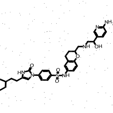 Nc1ccc(C(O)CNCC2CCc3cc(NS(=O)(=O)c4ccc(-n5cc(CCC6CCCCC6)[nH]c5=O)cc4)ccc3O2)cn1